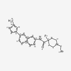 CC(C)CN1CCC(F)(C(=O)Nc2cc3cc(-c4cnn(C)c4)ccc3cn2)CC1